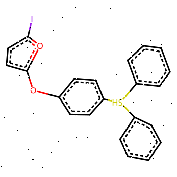 Ic1ccc(Oc2ccc([SH](c3ccccc3)c3ccccc3)cc2)o1